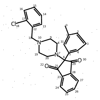 Cc1cccc(C2(N3CCN(Cc4ccccc4Cl)CC3)C(=O)c3ccccc3C2=O)c1